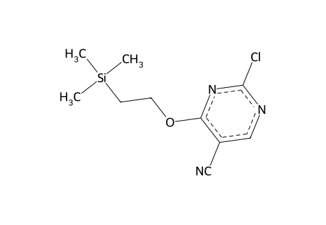 C[Si](C)(C)CCOc1nc(Cl)ncc1C#N